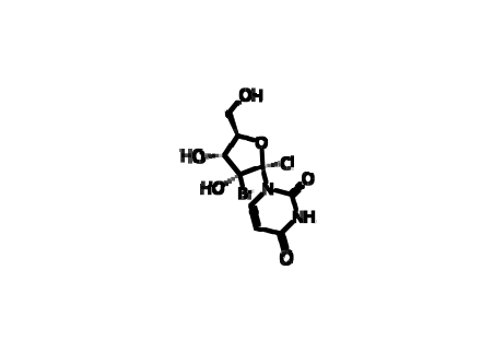 O=c1ccn([C@]2(Cl)O[C@H](CO)[C@@H](O)[C@]2(O)Br)c(=O)[nH]1